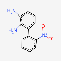 Nc1cccc(-c2ccccc2[N+](=O)[O-])c1N